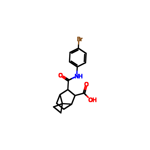 O=C(O)C1C(C(=O)Nc2ccc(Br)cc2)C2CCC1C21CC1